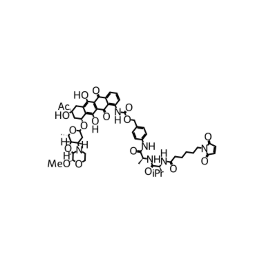 CO[C@H]1OCCN2[C@@H]1O[C@@H]1[C@H](C)OC(O[C@H]3C[C@](O)(C(C)=O)Cc4c(O)c5c(c(O)c43)C(=O)c3c(NC(=O)OCc4ccc(NC(=O)[C@H](C)NC(=O)[C@@H](NC(=O)CCCCCN6C(=O)C=CC6=O)C(C)C)cc4)cccc3C5=O)C[C@@H]12